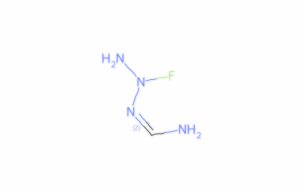 N/C=N\N(N)F